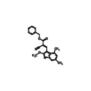 COc1nc2cc(C)cc(C)n2c1C=C(C#N)C(=O)OCc1ccccc1